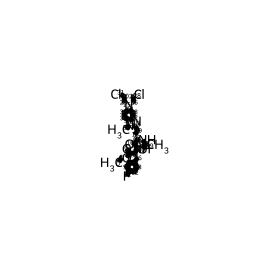 CCOC(=O)[C@H](Cc1ccc(F)cc1)NC(=O)[C@H](CCc1nc2cc(N(CCCl)CCCl)ccc2n1C)NC(C)=O